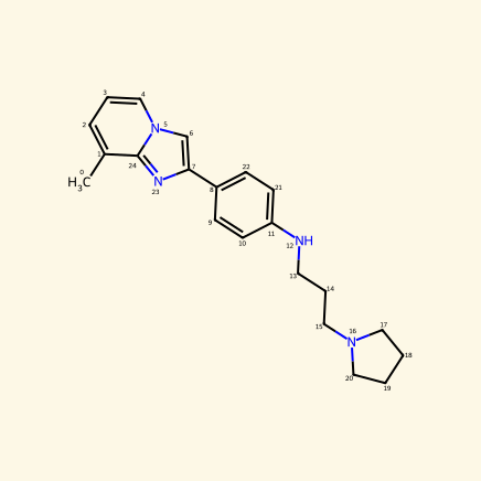 Cc1cccn2cc(-c3ccc(NCCCN4CCCC4)cc3)nc12